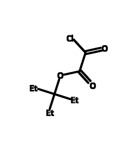 CCC(CC)(CC)OC(=O)C(=O)Cl